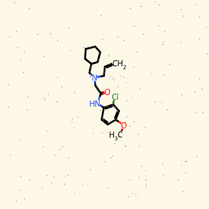 C=CCN(CC(=O)Nc1ccc(OC)cc1Cl)CC1CCCCC1